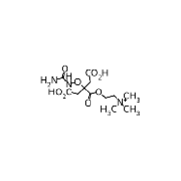 C[N+](C)(C)CCOC(=O)C(CC(=O)O)(CC(=O)O)ONC(N)=O